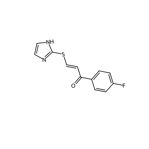 O=C(/C=C/Sc1ncc[nH]1)c1ccc(F)cc1